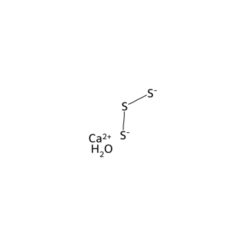 O.[Ca+2].[S-]S[S-]